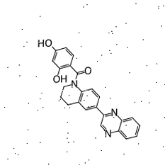 O=C(c1ccc(O)cc1O)N1CCCc2cc(-c3cnc4ccccc4n3)ccc21